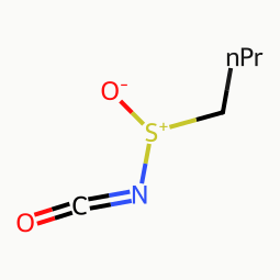 CCCC[S+]([O-])N=C=O